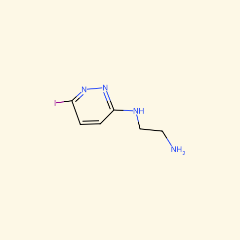 NCCNc1ccc(I)nn1